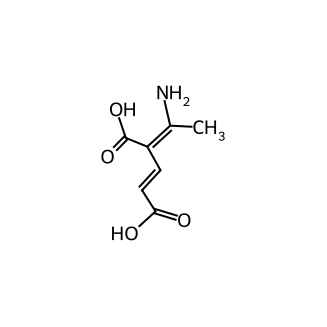 C/C(N)=C(\C=C\C(=O)O)C(=O)O